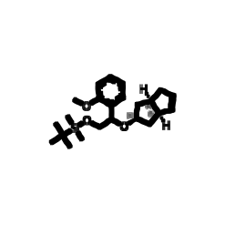 COc1ccccc1C(CO[Si](C)(C)C(C)(C)C)O[C@H]1C[C@H]2CC=C[C@H]2C1